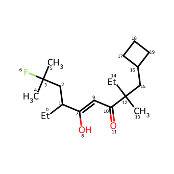 CCC(CC(C)(C)F)/C(O)=C/C(=O)C(C)(CC)CC1CCC1